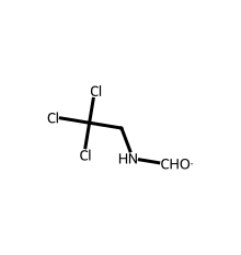 O=[C]NCC(Cl)(Cl)Cl